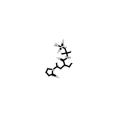 CCC(CC(C)N1CCCC1=O)C(=O)NC(C)(C)CS(=O)(=O)O